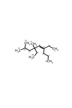 [CH2]C(C=C(CC)CCC)(CC)CC(C)C